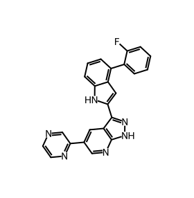 Fc1ccccc1-c1cccc2[nH]c(-c3n[nH]c4ncc(-c5cnccn5)cc34)cc12